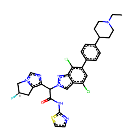 CCN1CCC(c2ccc(-c3cc(Cl)c4cn(C(C(=O)Nc5nccs5)c5ncn6c5C[C@@H](F)C6)nc4c3Cl)cc2)CC1